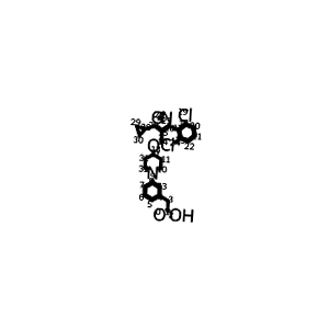 O=C(O)Cc1cccc(N2CCC(OCc3c(-c4c(Cl)cccc4Cl)noc3C3CC3)CC2)c1